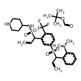 C=CC(c1cc(S(=O)(=O)C(C=C)c2ccccc2N(C)C)ccc1C(F)(F)F)S(=O)(=O)NC1CCNCC1.CC(C)(C)OC=O